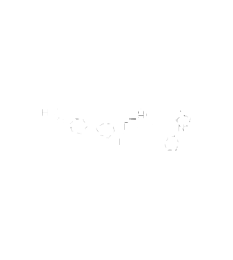 COc1ccc(-c2ccc(C(F)(F)CC(CC(O)CSc3nccn3-c3ccccc3)C(=O)O)cc2)cc1